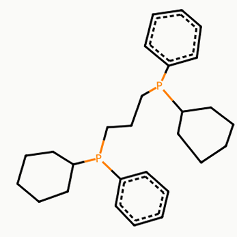 c1ccc(P(CCCP(c2ccccc2)C2CCCCC2)C2CCCCC2)cc1